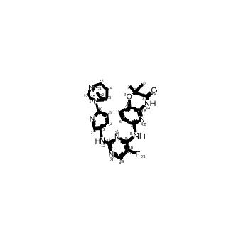 CC1(C)Oc2ccc(Nc3nc(Nc4ccc(N5CCN6CCC5CC6)nc4)ncc3F)nc2NC1=O